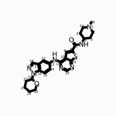 CN1CCC(NC(=O)c2cc3c(Nc4ccc5c(cnn5C5CCCCO5)c4)ncnc3s2)CC1